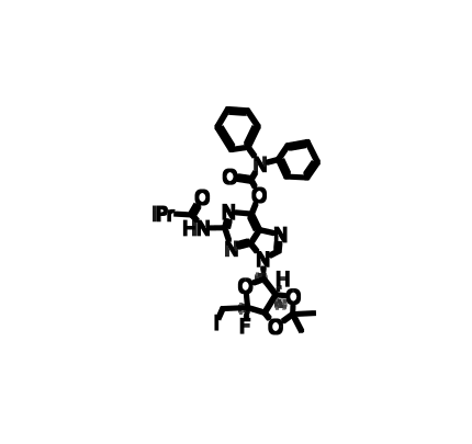 CC(C)C(=O)Nc1nc(OC(=O)N(c2ccccc2)c2ccccc2)c2ncn([C@@H]3O[C@@](F)(CI)C4OC(C)(C)O[C@@H]43)c2n1